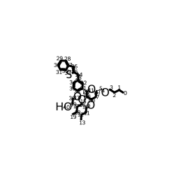 CCCCOC[C@@H]1C[C@H](OCCCC)[C@@H](OCCCC)[C@H](c2cc(Cc3cc4ccccc4s3)ccc2OCCO)O1